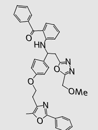 COCc1nnc(CC(Nc2ccccc2C(=O)c2ccccc2)c2ccc(OCCc3nc(-c4ccccc4)oc3C)cc2)o1